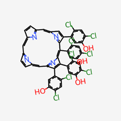 Oc1cc(C2=CC3=CC4=NC(=CC5=NC(=CC6=NC(=C(c7cc(O)c(Cl)cc7Cl)C2=N3)C(c2cc(O)c(Cl)cc2Cl)=C6c2cc(O)c(Cl)cc2Cl)C=C5)C=C4)c(Cl)cc1Cl